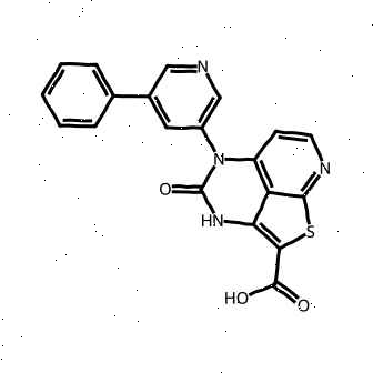 O=C(O)c1sc2nccc3c2c1NC(=O)N3c1cncc(-c2ccccc2)c1